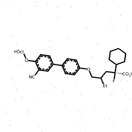 CCCCCCCCOc1ccc(-c2ccc(OCC(CC)C[C@@](F)(C(=O)O)C3CCCCC3)cc2)cc1C#N